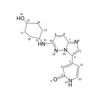 O=c1cc(-c2cnc3ccc(NC4CCC(O)CC4)nn23)cc[nH]1